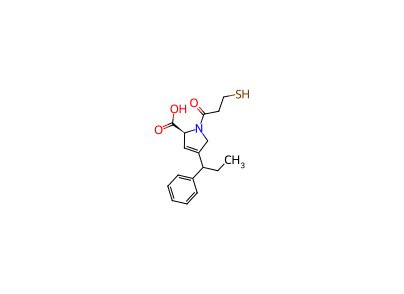 CCC(C1=C[C@@H](C(=O)O)N(C(=O)CCS)C1)c1ccccc1